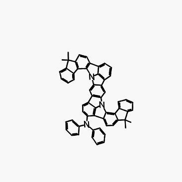 CC1(C)c2ccccc2-c2c1ccc1c3cccc4c5cc6c(cc5n(c21)c43)c1ccc(N(c2ccccc2)c2ccccc2)c2c3ccc4c(c3n6c12)-c1ccccc1C4(C)C